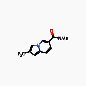 CNC(=O)c1ccc2cc(C(F)(F)F)cn2c1